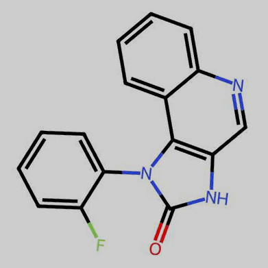 O=c1[nH]c2cnc3ccccc3c2n1-c1ccccc1F